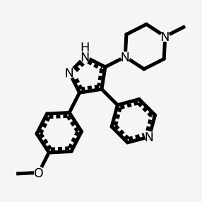 COc1ccc(-c2n[nH]c(N3CCN(C)CC3)c2-c2ccncc2)cc1